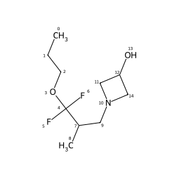 CCCOC(F)(F)C(C)CN1CC(O)C1